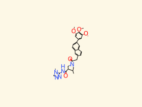 COc1cc(-c2ccc3cc(CC(=O)N4CC(C)C(C(=O)Nc5nncn5C)C4)ccc3c2)cc(OC)c1OC